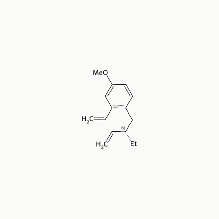 C=Cc1cc(OC)ccc1C[C@@H](C=C)CC